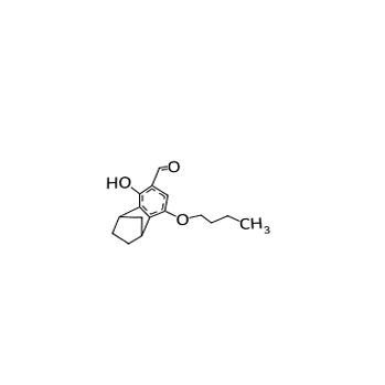 CCCCOc1cc(C=O)c(O)c2c1C1CCC2C1